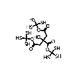 O=C(CC(O)(CC(=O)OC(S)(S)S)C(=O)OC(S)(S)S)OC(S)(S)S